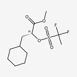 COC(=O)[C@@H](CC1CCCCC1)OS(=O)(=O)C(C)(F)F